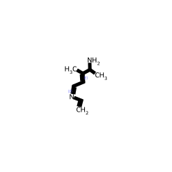 C=C/N=C\C=C(/C)C(C)N